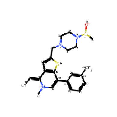 CC/C=C1/c2cc(CN3CCN([S+](C)[O-])CC3)sc2C(c2cccc(C(F)(F)F)c2)=CN1C